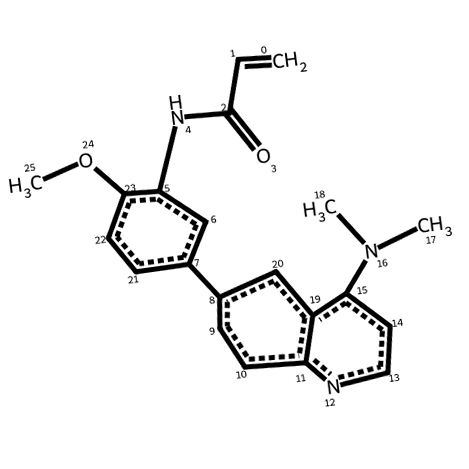 C=CC(=O)Nc1cc(-c2ccc3nccc(N(C)C)c3c2)ccc1OC